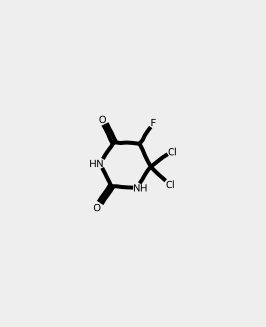 O=C1NC(=O)C(F)C(Cl)(Cl)N1